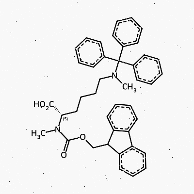 CN(C(=O)OCC1c2ccccc2-c2ccccc21)[C@@H](CCCCN(C)C(c1ccccc1)(c1ccccc1)c1ccccc1)C(=O)O